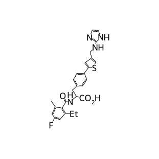 CCc1cc(F)cc(C)c1C(=O)NC(Cc1ccc(-c2cc(CNc3ncc[nH]3)cs2)cc1)C(=O)O